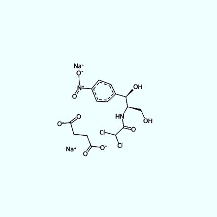 O=C(N[C@H](CO)[C@H](O)c1ccc([N+](=O)[O-])cc1)C(Cl)Cl.O=C([O-])CCC(=O)[O-].[Na+].[Na+]